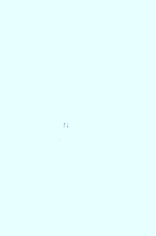 [CH]1SN1C1C=CC=CO1